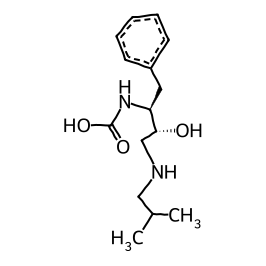 CC(C)CNC[C@@H](O)[C@H](Cc1ccccc1)NC(=O)O